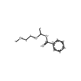 COCCOC(C)OC(=O)c1ccccc1